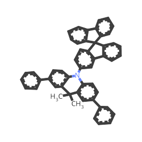 CC1(C)c2cc(-c3ccccc3)ccc2N(c2ccc3c(c2)-c2ccccc2C32c3ccccc3-c3ccccc32)c2ccc(-c3ccccc3)cc21